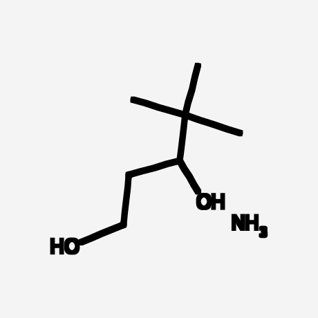 CC(C)(C)C(O)CCO.N